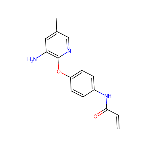 C=CC(=O)Nc1ccc(Oc2ncc(C)cc2N)cc1